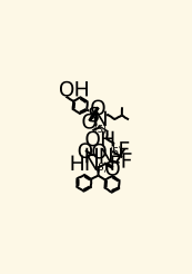 COC(=O)N[C@H](C(=O)N[C@@H](CCC[C@@H](CO)N(CCC(C)C)S(=O)(=O)c1ccc(CO)cc1)C(F)(F)F)C(c1ccccc1)c1ccccc1